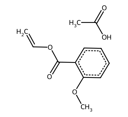 C=COC(=O)c1ccccc1OC.CC(=O)O